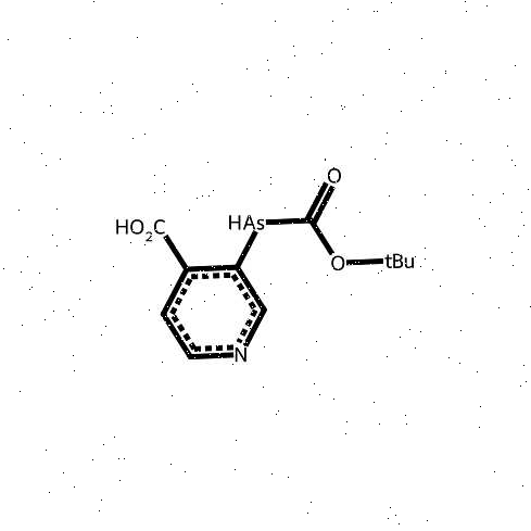 CC(C)(C)OC(=O)[AsH]c1cnccc1C(=O)O